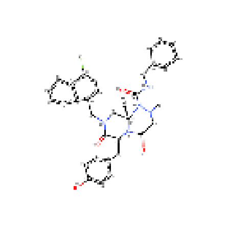 CN1CC(=O)N2[C@@H](Cc3ccc(O)cc3)C(=O)N(Cc3ccc(F)c4ccccc34)C[C@@H]2N1C(=O)NCc1ccccc1